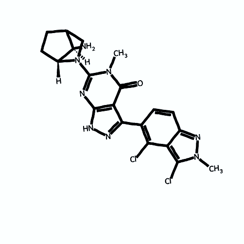 Cn1nc2ccc(-c3n[nH]c4nc(N5CC6CC[C@@H]5[C@@H]6N)n(C)c(=O)c34)c(Cl)c2c1Cl